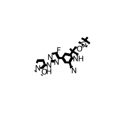 C=N/C(OC)=C(\C=C/C)Nc1ncc(F)c(-c2cc(C#N)c3c(c2)C(C)(CO[Si](C)(C)C(C)(C)C)CN3)n1